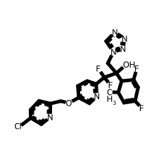 CC1C=C(F)C=C(F)C1C(O)(Cn1cnnn1)C(F)(F)c1ccc(OCc2ccc(Cl)cn2)cn1